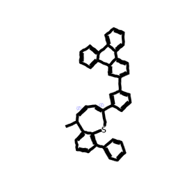 CC1/C=C\C=C(\c2cccc(-c3ccc4c5ccccc5c5ccccc5c4c3)c2)CSc2c(-c3ccccc3)cccc21